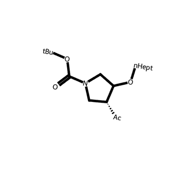 CCCCCCCOC1CN(C(=O)OC(C)(C)C)C[C@H]1C(C)=O